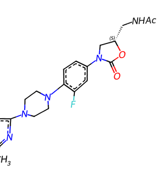 CC(=O)NC[C@H]1CN(c2ccc(N3CCN(c4cccc(C)n4)CC3)c(F)c2)C(=O)O1